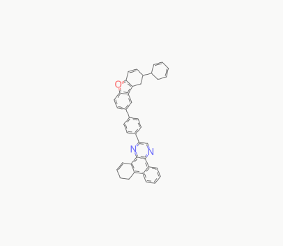 C1=CCC(C2C=Cc3oc4ccc(-c5ccc(-c6cnc7c(n6)c6c(c8ccccc87)CCC=C6)cc5)cc4c3C2)C=C1